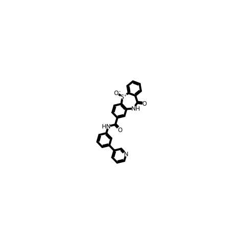 O=C(Nc1cccc(-c2cccnc2)c1)c1ccc2c(c1)NC(=O)c1ccccc1[S+]2[O-]